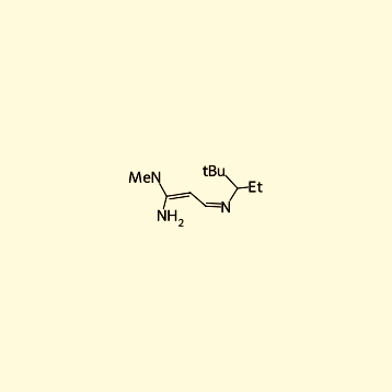 CCC(/N=C\C=C(/N)NC)C(C)(C)C